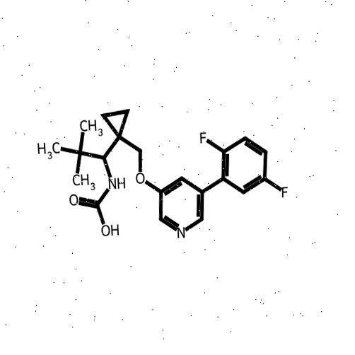 CC(C)(C)C(NC(=O)O)C1(COc2cncc(-c3cc(F)ccc3F)c2)CC1